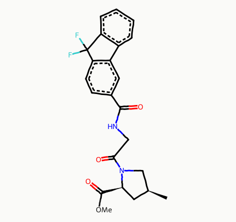 COC(=O)[C@@H]1C[C@H](C)CN1C(=O)CNC(=O)c1ccc2c(c1)-c1ccccc1C2(F)F